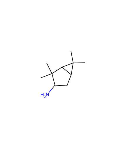 CC1(C)C(N)CC2C1C2(C)C